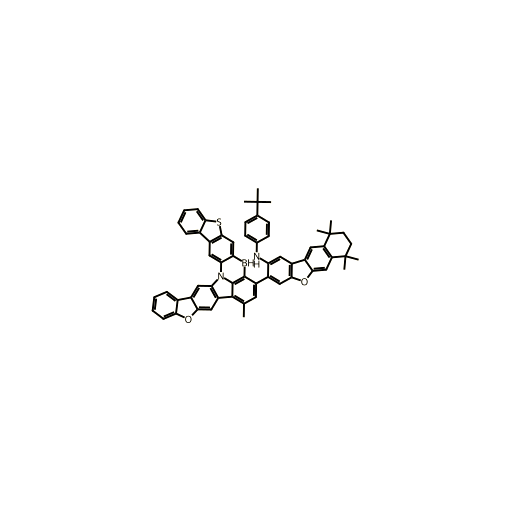 Cc1cc(-c2cc3oc4cc5c(cc4c3cc2Nc2ccc(C(C)(C)C)cc2)C(C)(C)CCC5(C)C)c2c3c1c1cc4oc5ccccc5c4cc1n3-c1cc3c(cc1B2)sc1ccccc13